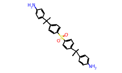 CC(C)(c1ccc(N)cc1)c1ccc(S(=O)(=O)c2ccc(C(C)(C)c3ccc(N)cc3)cc2)cc1